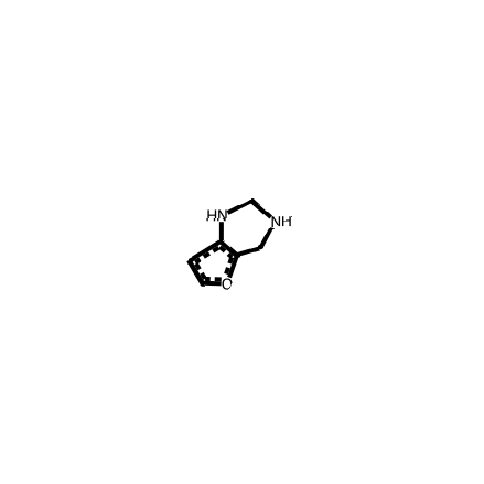 c1cc2c(o1)CNCN2